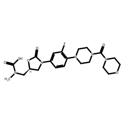 CN(C[C@@H]1CN(c2ccc(N3CCN(C(=O)N4CCOCC4)CC3)c(F)c2)C(=O)O1)C(=O)S